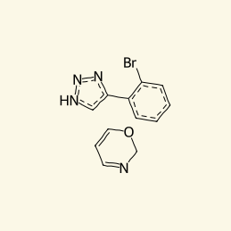 Brc1ccccc1-c1c[nH]nn1.C1=COCN=C1